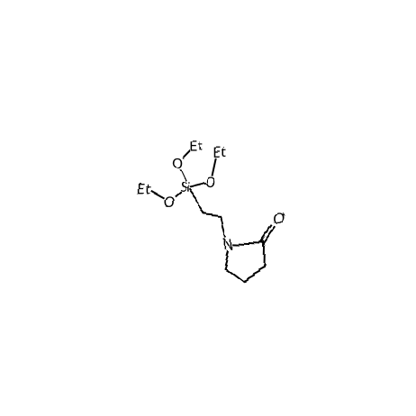 CCO[Si](CCN1CCCC1=O)(OCC)OCC